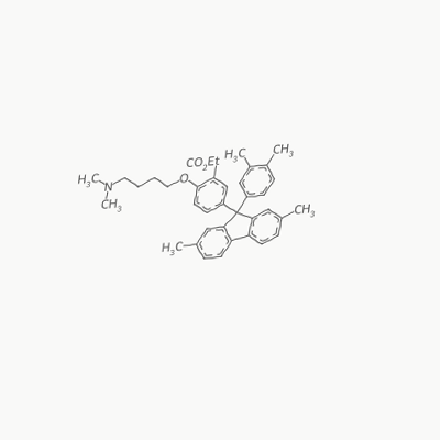 CCOC(=O)c1cc(C2(c3ccc(C)c(C)c3)c3cc(C)ccc3-c3ccc(C)cc32)ccc1OCCCCN(C)C